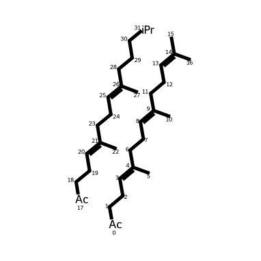 CC(=O)CC/C=C(\C)CC/C=C(\C)CCC=C(C)C.CC(=O)CC/C=C(\C)CC/C=C(\C)CCCC(C)C